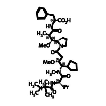 CO[C@H]([C@@H](C)C(=O)N[C@@H](Cc1ccccc1)C(=O)O)[C@@H]1CCCN1C(=O)C[C@@H](OC)[C@H](C1CCCC1)N(C)C(=O)[C@@H](NC(=O)C(C)(C)N(C)C)C(C)C